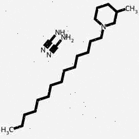 CCCCCCCCCCCCCCN1CCCC(C)C1.N#CN.N#CN